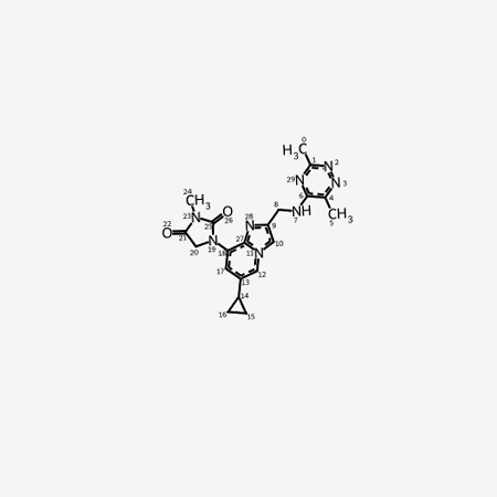 Cc1nnc(C)c(NCc2cn3cc(C4CC4)cc(N4CC(=O)N(C)C4=O)c3n2)n1